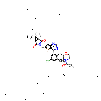 Cc1cc(Cl)cc(-c2ncnc3cc(CN4C(=O)C5C(C4=O)C5(C)C)sc23)c1C[C@@H]1CN(C(=O)C(F)(F)F)CCO1